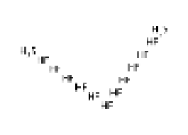 F.F.F.F.F.F.F.F.F.F.F.S.S